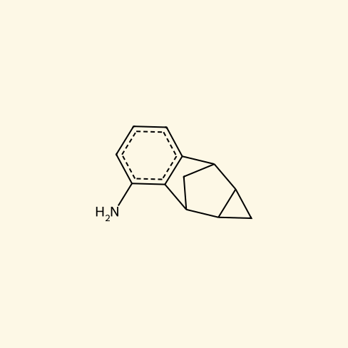 Nc1cccc2c1C1CC2C2CC12